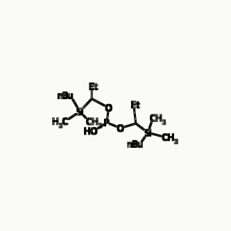 CCCC[Si](C)(C)C(CC)OP(O)OC(CC)[Si](C)(C)CCCC